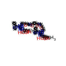 CCC(=O)CC1C[C@@H](n2cnc3c(NCC(c4ccccc4)c4ccccc4)nc(N4CC[C@H](CC(=O)C[C@@H]5CCN(C(=O)C[C@H]6CC[C@@H](CC(=O)N7CC[C@@H](CC(=O)C[C@H]8CCN(c9nc(NCC(c%10ccccc%10)c%10ccccc%10)c%10ncn([C@@H]%11C[C@H](CC(=O)CC)[C@@H](O)[C@H]%11O)c%10n9)C8)C7)CC6)C5)C4)nc32)[C@H](O)[C@@H]1O